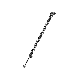 COCCCCCCCCCCCCCCCCNCCOCCOCCOCCOCCOCCOCCOCCOCCOCCOCCOCCOCCOCCOCCOCCOCCOCCOCCOCCOCCOCCOCCOCCOCCC(=O)O